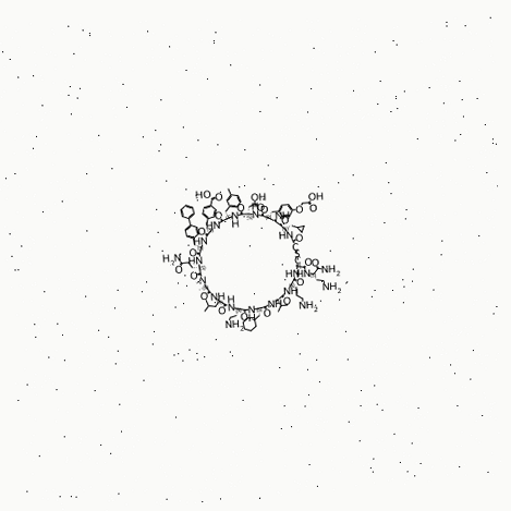 Cc1cccc(C[C@@H]2NC(=O)[C@H](CC(=O)O)NC(=O)[C@H](Cc3ccc(OCC(=O)O)cc3)C(=N)C(=O)[C@H](CC3CC3)NC(=O)CSC[C@@H](C(=O)N[C@@H](CCN)C(N)=O)NC(=O)[C@H](CCCN)NC(=O)[C@H](C(C)C)NC(=O)[C@H](CC3CCCCC3)NC(=O)[C@H](CCN)NC(=O)[C@@H](CC(C)C)NC(=O)[C@H](C)N(C)C(=O)[C@H](CCC(N)=O)NC(=O)[C@H](Cc3ccc(-c4ccccc4)cc3)NC(=O)[C@H](Cc3ccc(C(=O)O)cc3)NC2=O)c1